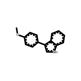 COc1ccc(-c2c[nH]c3ccccc23)cc1